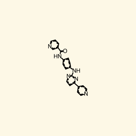 O=C(Nc1ccc(Nc2nccc(-c3ccncc3)n2)cc1)c1cccnc1